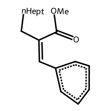 CCCCCCCCC(=Cc1ccccc1)C(=O)OC